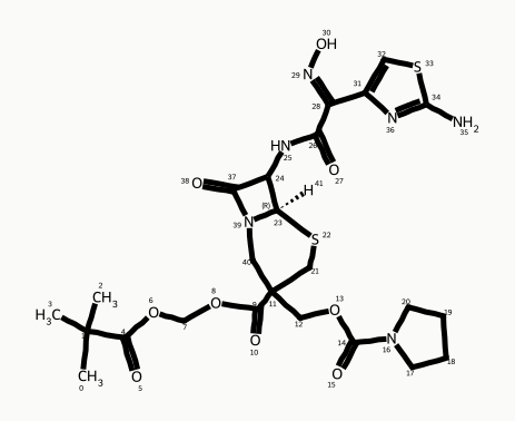 CC(C)(C)C(=O)OCOC(=O)C1(COC(=O)N2CCCC2)CS[C@@H]2C(NC(=O)C(=NO)c3csc(N)n3)C(=O)N2C1